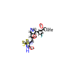 COC(=O)c1cc(F)cc(-c2cncc3cc(/C=C4\SC(=S)NC4=O)oc23)c1